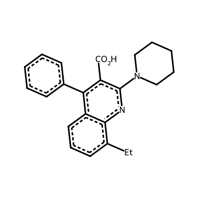 CCc1cccc2c(-c3ccccc3)c(C(=O)O)c(N3CCCCC3)nc12